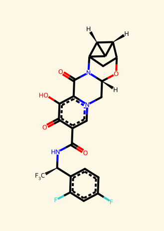 O=C(N[C@@H](c1ccc(F)cc1F)C(F)(F)F)c1cn2c(c(O)c1=O)C(=O)N1[C@@H](C2)OC2CC13C1[C@@H]2[C@H]13